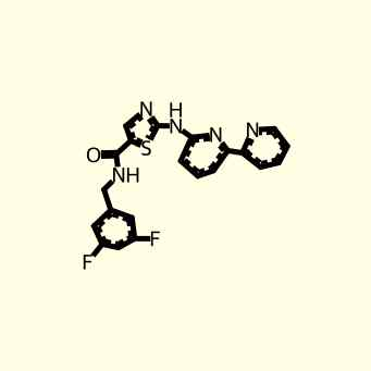 O=C(NCc1cc(F)cc(F)c1)c1cnc(Nc2cccc(-c3ccccn3)n2)s1